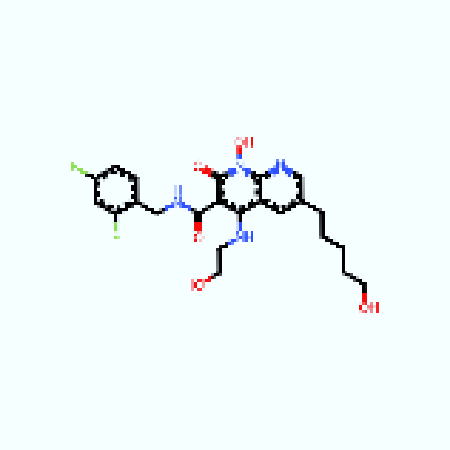 O=C(NCc1ccc(F)cc1F)c1c(NCCO)c2cc(CCCCCO)cnc2n(O)c1=O